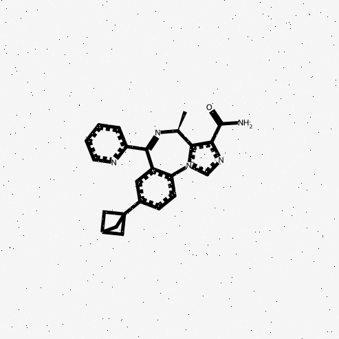 C[C@@H]1N=C(c2ccccn2)c2cc(C34CC(C3)C4)ccc2-n2cnc(C(N)=O)c21